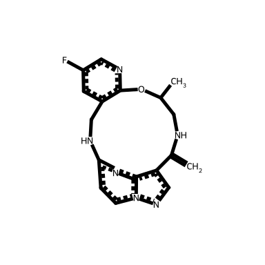 C=C1NCC(C)Oc2ncc(F)cc2CNc2ccn3ncc1c3n2